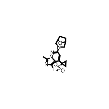 Cc1nc(I)c2c(C3(S(C)(=O)=O)CC3)cc(N3CC4CCC(C3)O4)nn12